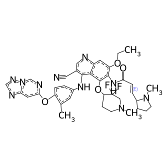 CCOc1cc2ncc(C#N)c(Nc3ccc(Oc4cc5ncnn5cn4)c(C)c3)c2c(OC2CCN(C)CC2(F)F)c1NC(=O)/C=C/C1CCCN1C